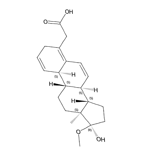 CO[C@]1(O)CC[C@H]2[C@@H]3C=CC4=C(CC(=O)O)CC=C[C@@H]4[C@H]3CC[C@@]21C